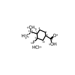 CN(C)C1CCC(C(=O)O)CC1F.Cl